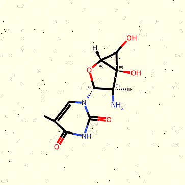 Cc1cn([C@@H]2O[C@@H]3C(O)[C@]3(O)[C@@]2(C)N)c(=O)[nH]c1=O